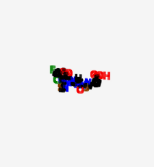 COC(=O)C1=C(CN2CCN3C(=O)N(c4nc(-c5cccc(C(=O)O)c5)cs4)C[C@@H]3C2)NC(c2nccs2)=N[C@H]1c1ccc(F)cc1Cl